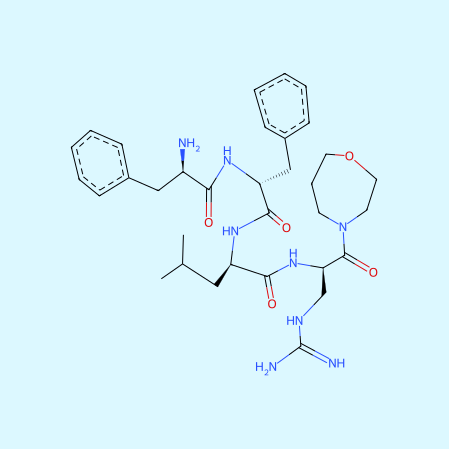 CC(C)C[C@@H](NC(=O)[C@@H](Cc1ccccc1)NC(=O)[C@H](N)Cc1ccccc1)C(=O)N[C@H](CNC(=N)N)C(=O)N1CCCOCC1